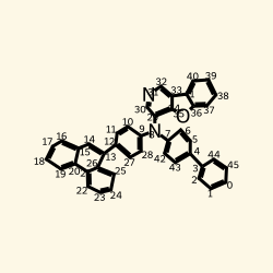 c1ccc(-c2ccc(N(c3ccc(-c4cc5ccccc5c5ccccc45)cc3)c3cncc4c3oc3ccccc34)cc2)cc1